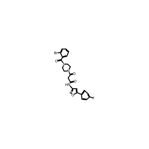 O=C(CC(=O)N1CCN(C(=O)c2ccccc2Br)CC1)Nc1cc(-c2ccc(F)cc2)on1